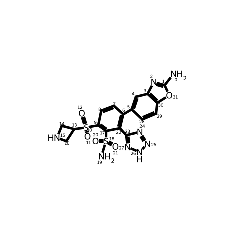 Nc1nc2cc(-c3ccc(S(=O)(=O)C4CNC4)c(S(N)(=O)=O)c3-c3nn[nH]n3)ccc2o1